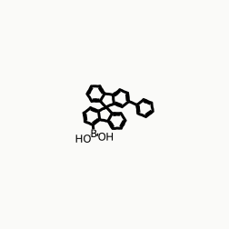 OB(O)c1cccc2c1-c1ccccc1C21c2ccccc2-c2ccc(-c3ccccc3)cc21